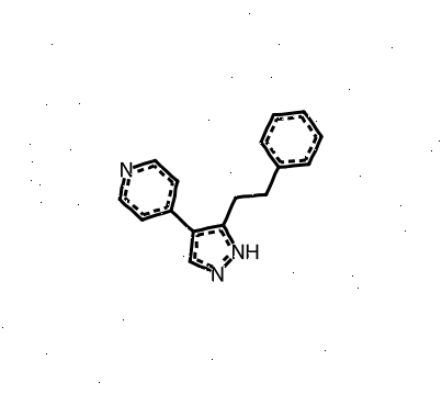 c1ccc(CCc2[nH]ncc2-c2ccncc2)cc1